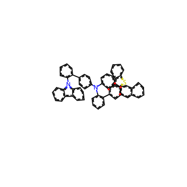 c1cc(-c2ccc3ccccc3c2)cc(N(c2ccc(-c3ccccc3-n3c4ccccc4c4ccccc43)cc2)c2ccccc2-c2ccc3sc4ccccc4c3c2)c1